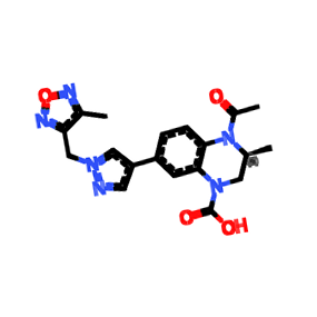 CC(=O)N1c2ccc(-c3cnn(Cc4nonc4C)c3)cc2N(C(=O)O)C[C@@H]1C